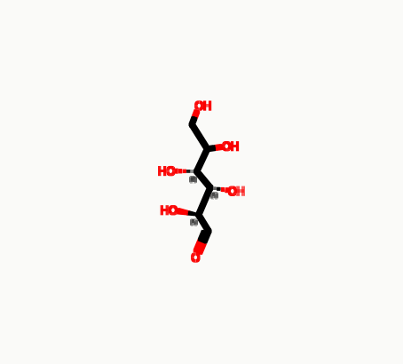 O=C[C@@H](O)[C@@H](O)[C@H](O)C(O)CO